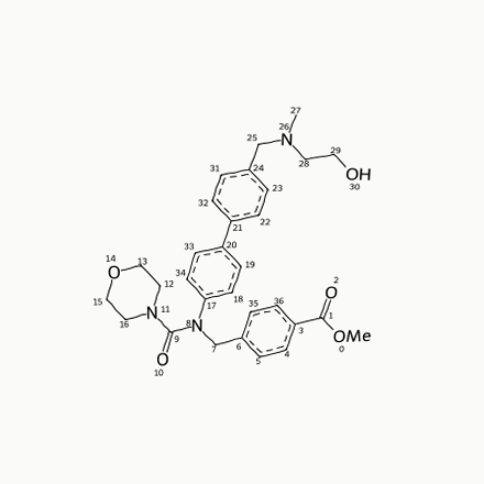 COC(=O)c1ccc(CN(C(=O)N2CCOCC2)c2ccc(-c3ccc(CN(C)CCO)cc3)cc2)cc1